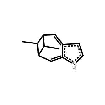 CC1C2C=c3cc[nH]c3=CC1C2C